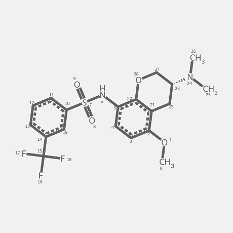 COc1ccc(NS(=O)(=O)c2cccc(C(F)(F)F)c2)c2c1C[C@@H](N(C)C)CO2